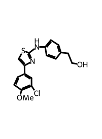 COc1ccc(-c2csc(Nc3ccc(CCO)cc3)n2)cc1Cl